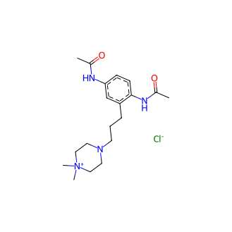 CC(=O)Nc1ccc(NC(C)=O)c(CCCN2CC[N+](C)(C)CC2)c1.[Cl-]